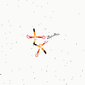 C[PH]([O-])([O-])C[PH](C)([O-])[O-].[Zn+2].[Zn+2]